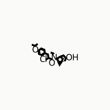 CCN(C(=O)C(C)Cc1ccc(OC(C)C)cc1Cl)C1C2CC(O)C[C@]3(C2)CC13